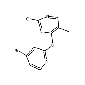 Clc1ncc(I)c(Oc2cc(Br)ccn2)n1